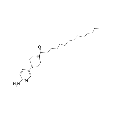 CCCCCCCCCCCCCC(=O)N1CCN(c2ccc(N)nc2)CC1